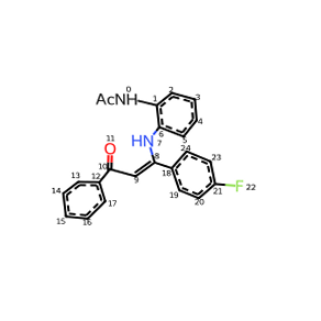 CC(=O)Nc1ccccc1N/C(=C\C(=O)c1ccccc1)c1ccc(F)cc1